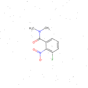 CN(C)C(=O)c1cccc(F)c1[N+](=O)[O-]